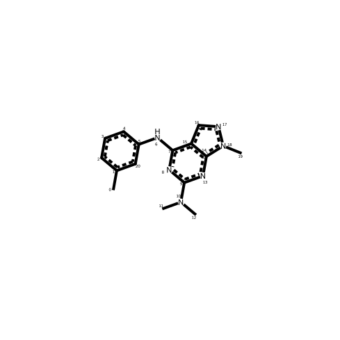 Cc1cccc(Nc2nc(N(C)C)nc3c2cnn3C)c1